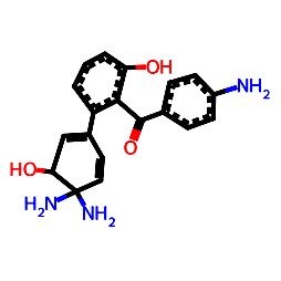 Nc1ccc(C(=O)c2c(O)cccc2C2=CC(O)C(N)(N)C=C2)cc1